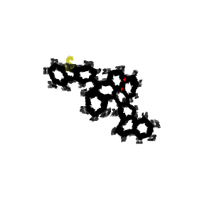 c1ccc(-c2cc3c(ccc4ccccc43)cc2-c2c3ccccc3c(-c3ccc4sc5ccccc5c4c3)c3ccccc23)cc1